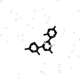 Cc1ccc(-c2cc(C)nc(-c3ccc(C)cc3C)n2)c(C)c1